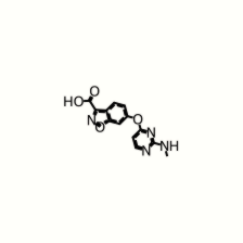 CNc1nccc(Oc2ccc3c(C(=O)O)noc3c2)n1